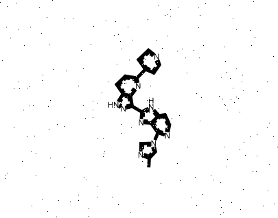 Cc1cn(-c2nccc3[nH]c(-c4n[nH]c5ccc(-c6ccncc6)nc45)nc23)cn1